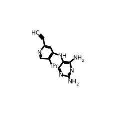 C#Cc1cc(Nc2cnc(N)nc2N)c(C(C)C)cn1